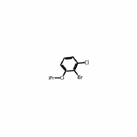 CC(C)Oc1cccc(Cl)c1Br